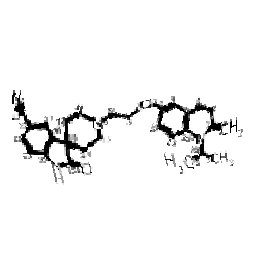 C=C1CCc2cc(OCCN3CCC4(CC3)C(=O)Nc3ccc(C#N)cc34)ccc2N1C(C)C